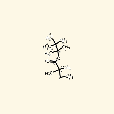 CCC(C)(C)C(=O)OC(C)(C)C(C)(C)C